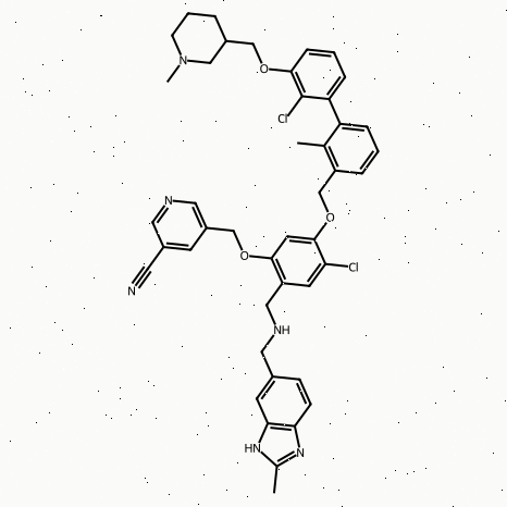 Cc1nc2ccc(CNCc3cc(Cl)c(OCc4cccc(-c5cccc(OCC6CCCN(C)C6)c5Cl)c4C)cc3OCc3cncc(C#N)c3)cc2[nH]1